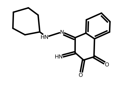 N=c1c(=O)c(=O)c2ccccc2/c1=N/NC1CCCCC1